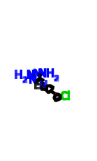 CCc1nc(N)nc(N)c1CN1CCc2cc(-c3cccc(Cl)c3)ccc21